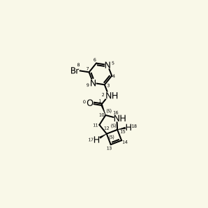 O=C(Nc1cncc(Br)n1)[C@@H]1C[C@H]2C=C[C@H]2N1